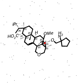 CO[C@@H]1C[C@@]23COC[C@@](C)([C@@H]2CC[C@H]2C3=CC[C@@]3(C)[C@H](C(=O)O)[C@@](C)([C@H](C)C(C)C)CC[C@]23C)[C@H]1OCC1(N)CCCC1